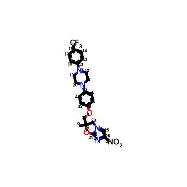 CC1(COc2ccc(N3CCN(c4ccc(C(F)(F)F)cc4)CC3)cc2)Cn2cc([N+](=O)[O-])nc2O1